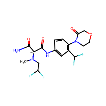 CN(CC(F)F)[C@@H](C(N)=O)C(=O)Nc1ccc(N2CCOCC2=O)c(C(F)F)c1